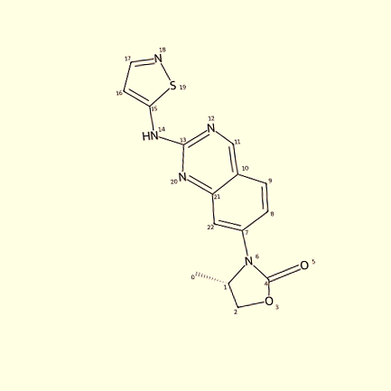 C[C@H]1COC(=O)N1c1ccc2cnc(Nc3ccns3)nc2c1